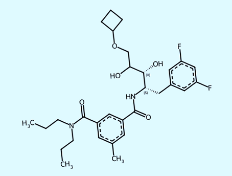 CCCN(CCC)C(=O)c1cc(C)cc(C(=O)N[C@@H](Cc2cc(F)cc(F)c2)[C@@H](O)C(O)COC2CCC2)c1